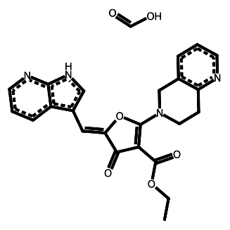 CCOC(=O)C1=C(N2CCc3ncccc3C2)OC(=Cc2c[nH]c3ncccc23)C1=O.O=CO